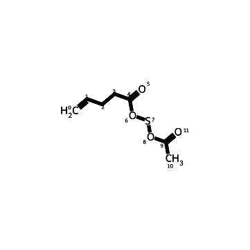 C=CCCC(=O)OSOC(C)=O